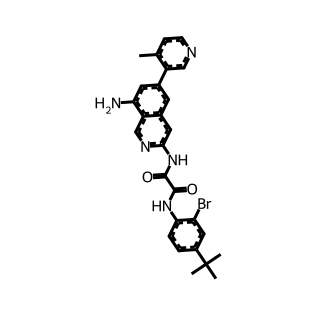 Cc1ccncc1-c1cc(N)c2cnc(NC(=O)C(=O)Nc3ccc(C(C)(C)C)cc3Br)cc2c1